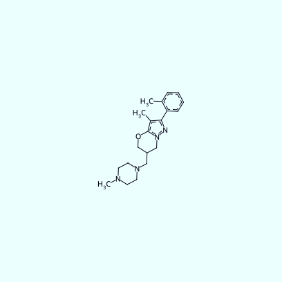 Cc1ccccc1-c1nn2c(c1C)OCC(CN1CCN(C)CC1)C2